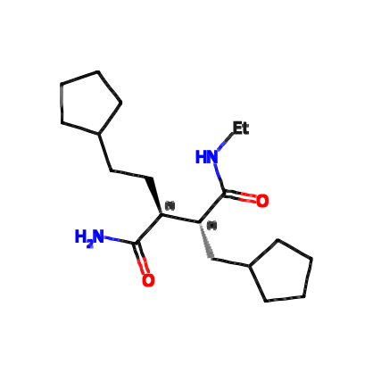 CCNC(=O)[C@H](CC1CCCC1)[C@H](CCC1CCCC1)C(N)=O